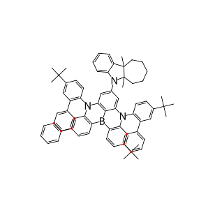 CC(C)(C)c1ccc(N2c3cc(-c4ccccc4)ccc3B3c4ccc(C(C)(C)C)cc4N(c4ccc(C(C)(C)C)cc4-c4ccccc4)c4cc(N5c6ccccc6C6(C)CCCCCC56C)cc2c43)c(-c2ccccc2)c1